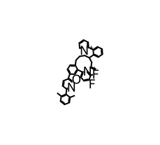 C=C1CC2c3ccccc3-c3cccc[n+]3C2CCc2ccc3c(oc4nc(-c5c(C)cccc5C)ccc43)c2-c2ccc(F)c(F)[n+]21